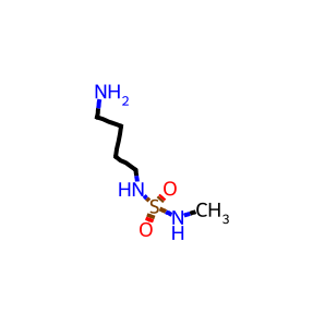 CNS(=O)(=O)NCCCCN